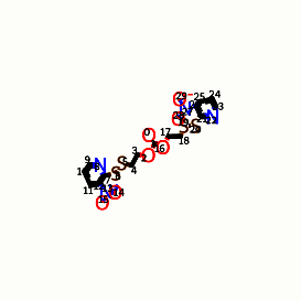 O=C(OCCSSc1ncccc1[N+](=O)[O-])OCCSSc1ncccc1[N+](=O)[O-]